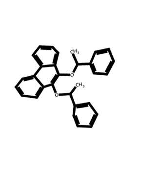 CC(Oc1c(OC(C)c2ccccc2)c2ccccc2c2ccccc12)c1ccccc1